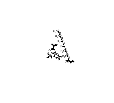 C=C(C)C(=O)O[Si](C)(O[Si](C)(C)C)O[Si](C)(C)C.C=CC(=O)O[SiH2]O[SiH2]O[SiH2]O[SiH2]O[SiH2]O[SiH3]